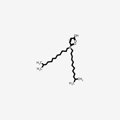 CC(C)CCCCCCCCCCN(CCCCCCCCCCC(C)C)C(=O)/C=C\C(=O)O